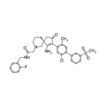 Cc1cc(-c2cccc(S(C)(=O)=O)c2)c(Cl)cc1C1=C(N)[C@@]2(CCCN(CC(=O)NCc3ccccc3F)C2)CC1=O